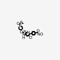 CN(C)C(=O)N1CCC(Oc2nc3nc(-c4ccc(C(=O)N=O)cc4)c(Cl)cc3[nH]2)CC1